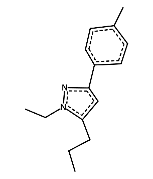 CCCc1cc(-c2ccc(C)cc2)nn1CC